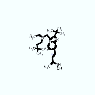 C=C(/C=C/c1ccn2c(CN(CC)CCC(C)(C)C)c(C(C)(C)C)nc2c1)NO